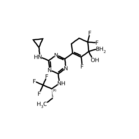 BC1(O)C(F)=C(c2nc(NC3CC3)nc(N[C@H](CC)C(F)(F)F)n2)CCC1(F)F